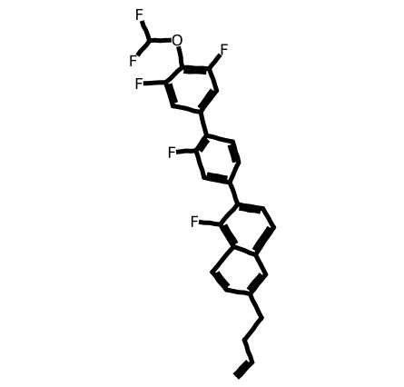 C=CCCc1ccc2c(F)c(-c3ccc(-c4cc(F)c(OC(F)F)c(F)c4)c(F)c3)ccc2c1